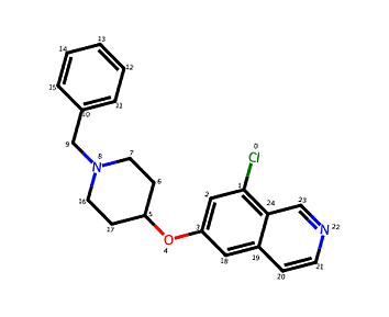 Clc1cc(OC2CCN(Cc3ccccc3)CC2)cc2ccncc12